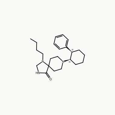 CCCCN1CNC(=O)C12CCN([C@@H]1CCCC[C@@H]1c1ccccc1)CC2